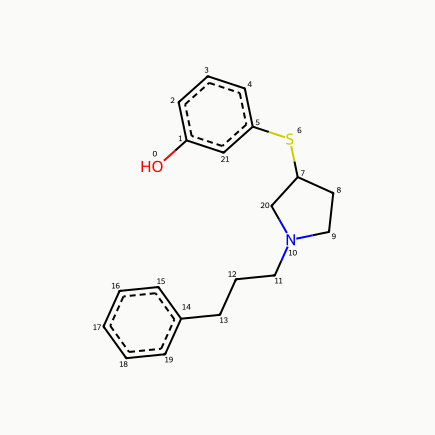 Oc1cccc(SC2CCN(CCCc3ccccc3)C2)c1